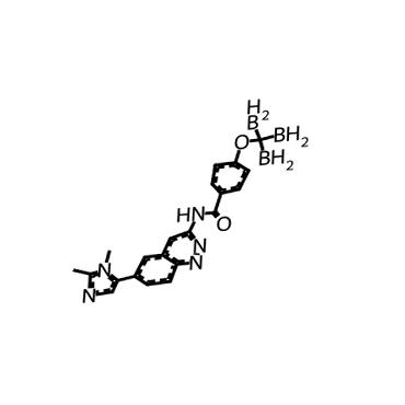 BC(B)(B)Oc1ccc(C(=O)Nc2cc3cc(-c4cnc(C)n4C)ccc3nn2)cc1